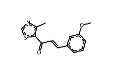 COc1cccc(/C=C/C(=O)c2scnc2C)c1